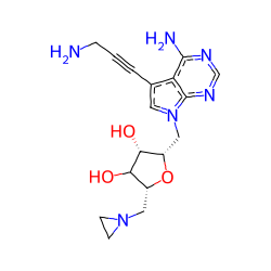 NCC#Cc1cn(C[C@@H]2O[C@H](CN3CC3)C(O)[C@@H]2O)c2ncnc(N)c12